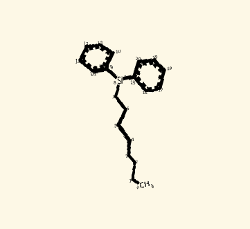 CCCCCCCC[Si](c1ccccc1)c1ccccc1